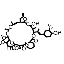 C=CCC1/C=C(/C)CC(C)CC(OC)C2OC(O)(C(C)CC2OC)C2(CO2)C(=O)N2CCCCC2C(=O)OC(/C(C)=C/C2CCC(O)C(OC)C2)C(C)C(O)CC1=O